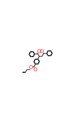 C=CCCOC(=O)c1ccc(C(CC(=O)c2ccccc2)C(=O)c2ccccc2)cc1